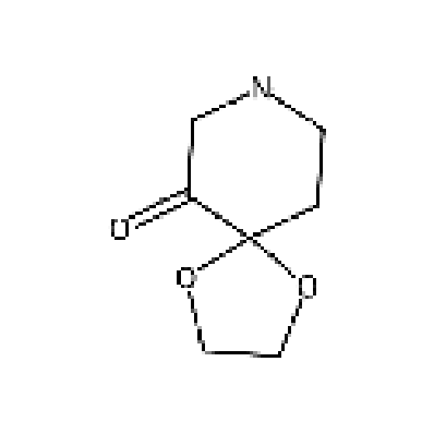 O=C1C[N]CCC12OCCO2